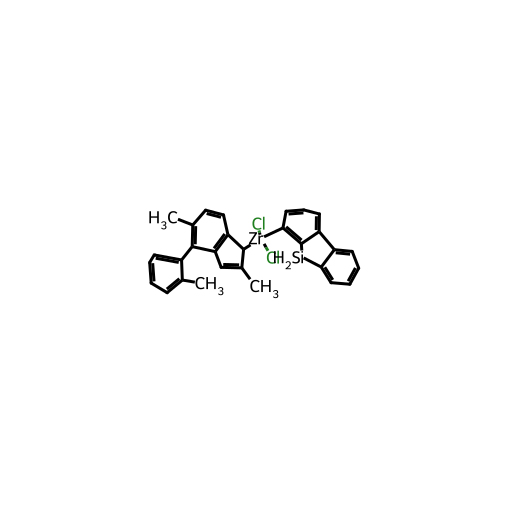 CC1=Cc2c(ccc(C)c2-c2ccccc2C)[CH]1[Zr]([Cl])([Cl])[c]1cccc2c1[SiH2]c1ccccc1-2